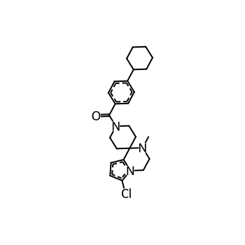 CN1CCn2c(Cl)ccc2C12CCN(C(=O)c1ccc(C3CCCCC3)cc1)CC2